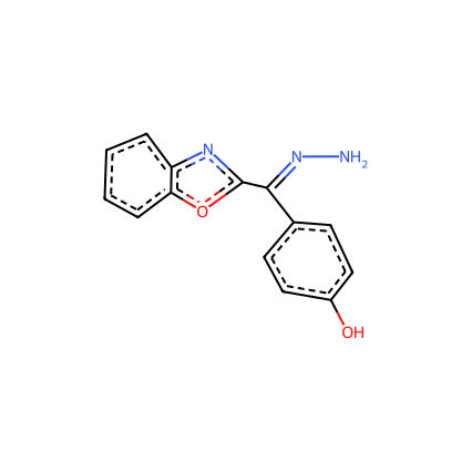 NN=C(c1ccc(O)cc1)c1nc2ccccc2o1